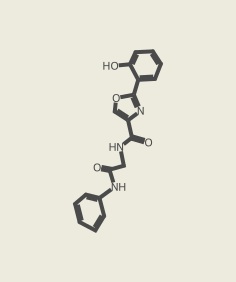 O=C(CNC(=O)c1coc(-c2ccccc2O)n1)Nc1ccccc1